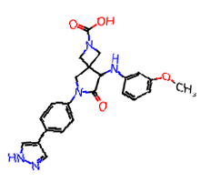 COc1cccc(NC2C(=O)N(c3ccc(-c4cn[nH]c4)cc3)CC23CN(C(=O)O)C3)c1